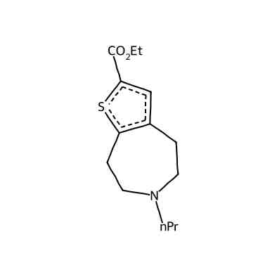 CCCN1CCc2cc(C(=O)OCC)sc2CC1